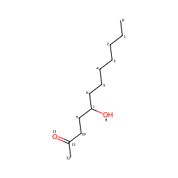 CCCCCCCC(O)CCC(C)=O